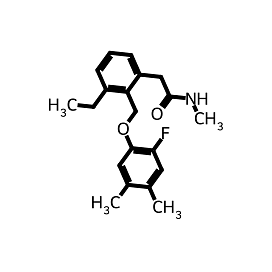 CCc1cccc(CC(=O)NC)c1COc1cc(C)c(C)cc1F